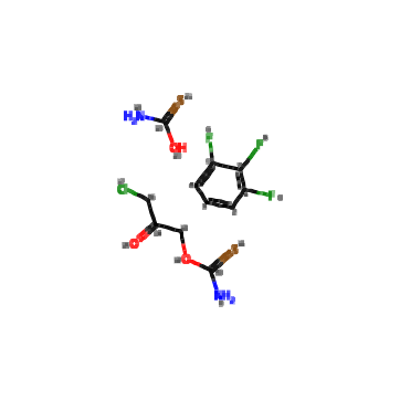 Fc1cccc(F)c1F.NC(=S)OCC(=O)CCl.NC(O)=S